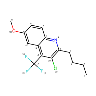 CCCCc1nc2ccc(OC)cc2c(C(F)(F)F)c1Cl